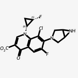 O=C(O)c1cn([C@@H]2C[C@@H]2F)c2c(Cl)c(N3CC4NC4C3)c(F)cc2c1=O